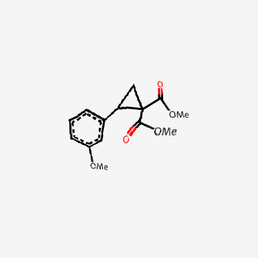 COC(=O)C1(C(=O)OC)CC1c1cccc(OC)c1